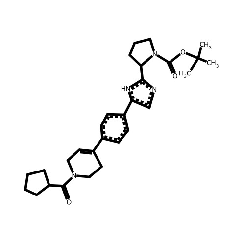 CC(C)(C)OC(=O)N1CCCC1c1ncc(-c2ccc(C3=CCN(C(=O)C4CCCC4)CC3)cc2)[nH]1